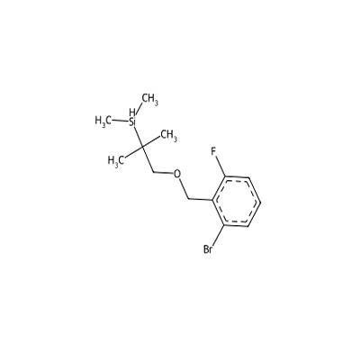 C[SiH](C)C(C)(C)COCc1c(F)cccc1Br